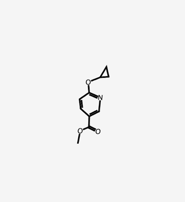 COC(=O)c1ccc(OC2CC2)nc1